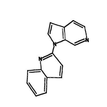 c1ccc2nc(-n3ccc4ccncc43)ccc2c1